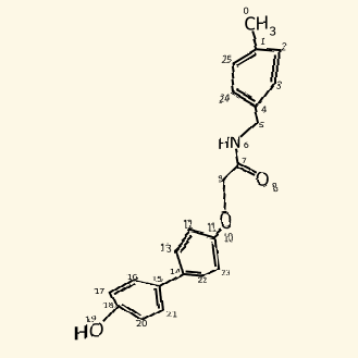 Cc1ccc(CNC(=O)COc2ccc(-c3ccc(O)cc3)cc2)cc1